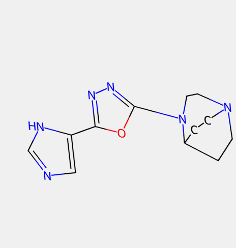 c1ncc(-c2nnc(N3CCN4CCC3CC4)o2)[nH]1